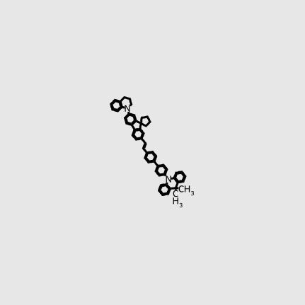 CC1(C)c2ccccc2N(c2ccc(-c3ccc(/C=C/c4ccc5c(c4)C4(CCCC4)c4cc(N6CCCc7ccccc76)ccc4-5)cc3)cc2)c2ccccc21